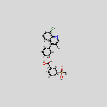 Cc1cnc2c(Cl)cccc2c1-c1cccc(OC(=O)c2cccc(S(C)(=O)=O)c2)c1